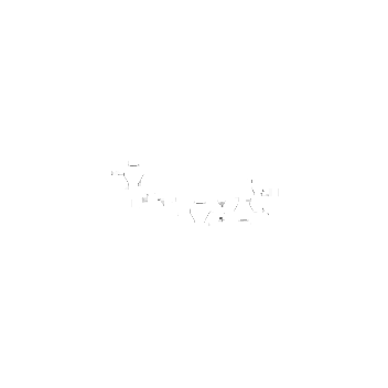 CCNc1ccc(S(=O)(=O)c2ccc(CCNC[C@H](O)c3cccc(Cl)c3)cc2)cc1C(N)=O